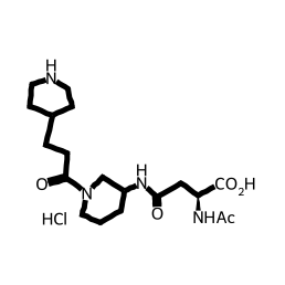 CC(=O)N[C@@H](CC(=O)NC1CCCN(C(=O)CCC2CCNCC2)C1)C(=O)O.Cl